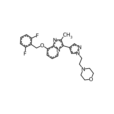 Cc1nc2c(OCc3c(F)cccc3F)cccn2c1-c1cnn(CCN2CCOCC2)c1